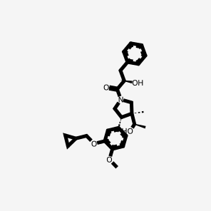 COc1ccc([C@@H]2CN(C(=O)[C@H](O)Cc3ccccc3)C[C@@]2(C)[C@@H](C)O)cc1OCC1CC1